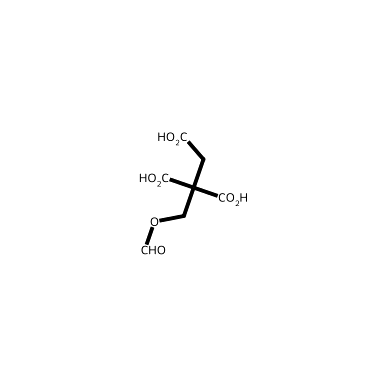 O=COCC(CC(=O)O)(C(=O)O)C(=O)O